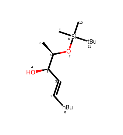 CCCC/C=C/[C@@H](O)[C@@H](C)O[Si](C)(C)C(C)(C)C